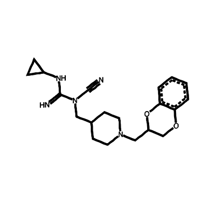 N#CN(CC1CCN(CC2COc3ccccc3O2)CC1)C(=N)NC1CC1